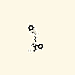 Nc1nc2ccccc2c2c1ncn2CCCCNS(=O)(=O)c1ccccc1